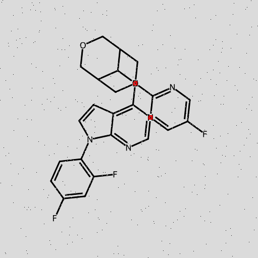 Fc1cnc(N2CC3COCC(C2)C3Oc2ncnc3c2ccn3-c2ccc(F)cc2F)nc1